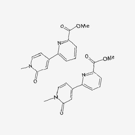 COC(=O)c1cccc(-c2ccn(C)c(=O)c2)n1.COC(=O)c1cccc(-c2ccn(C)c(=O)c2)n1